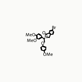 COc1ccc(OCC(c2ccc(OC)c(OC)c2)N2Cc3ccc(Br)cc3C2=O)cc1